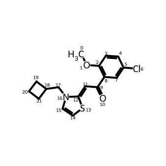 COc1ccc(Cl)cc1C(=O)C=C1SC=CN1CC1CCC1